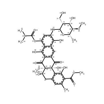 COC(=O)c1c(C)cc2c(c1O)[C@]1(O)C(=O)c3cc4c(O)c(NC5O[C@@H](C)[C@H](OC)[C@@H](O)[C@H]5CO)cc(OC(=O)N(C)C)c4c(O)c3C(=O)[C@]1(OC)[C@H](O)C2